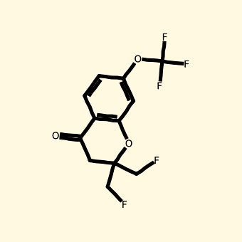 O=C1CC(CF)(CF)Oc2cc(OC(F)(F)F)ccc21